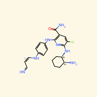 N=C/C=C\Nc1ccc(Nc2nc(N[C@@H]3CCCC[C@@H]3N)c(F)cc2C(N)=O)cc1